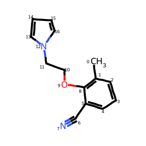 Cc1cccc(C#N)c1OCCn1cccc1